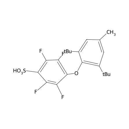 Cc1cc(C(C)(C)C)c(Oc2c(F)c(F)c(S(=O)(=O)O)c(F)c2F)c(C(C)(C)C)c1